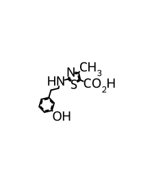 Cc1nc(NCCc2cccc(O)c2)sc1C(=O)O